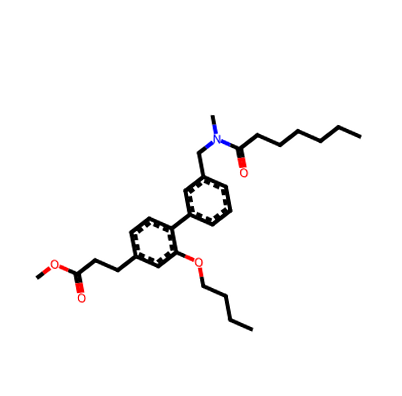 CCCCCCC(=O)N(C)Cc1cccc(-c2ccc(CCC(=O)OC)cc2OCCCC)c1